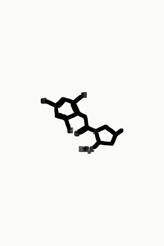 CCOC(=O)C1CC(C)CN1C(=O)Cc1c(Cl)cc(Cl)cc1Cl